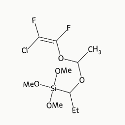 CCC(OC(C)OC(F)=C(F)Cl)[Si](OC)(OC)OC